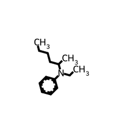 CCCCC(C)N(CC)c1ccccc1